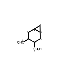 O=CC1CC2CC2CC1C(=O)O